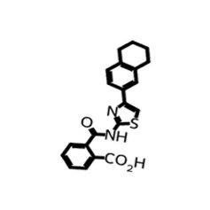 O=C(O)c1ccccc1C(=O)Nc1nc(-c2ccc3c(c2)CCCC3)cs1